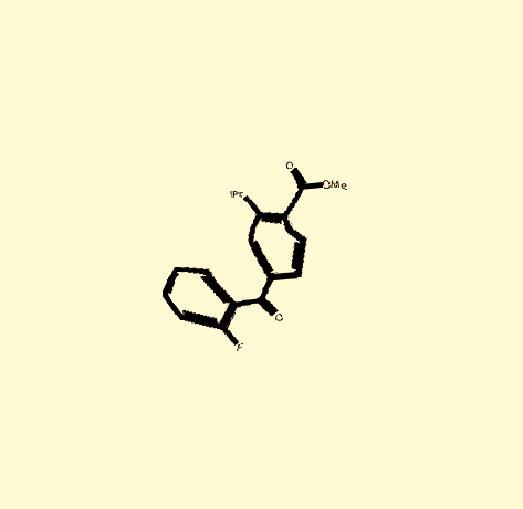 COC(=O)c1ccc(C(=O)c2ccccc2F)cc1C(C)C